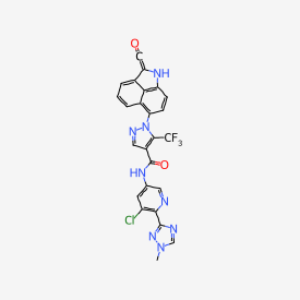 Cn1cnc(-c2ncc(NC(=O)c3cnn(-c4ccc5[nH]c(=C=O)c6cccc4c56)c3C(F)(F)F)cc2Cl)n1